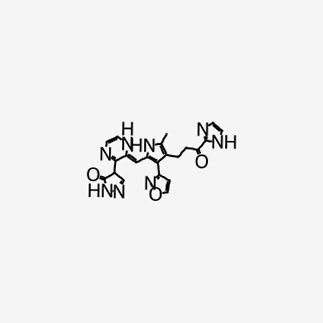 Cc1[nH]c(C=C2NC=CN=C2C2C=NNC2=O)c(-c2ccon2)c1CCC(=O)c1ncc[nH]1